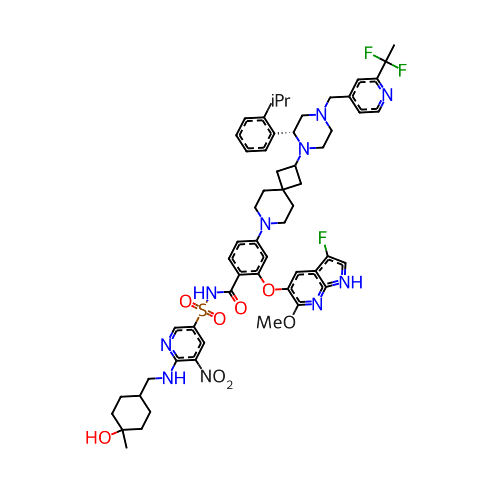 COc1nc2[nH]cc(F)c2cc1Oc1cc(N2CCC3(CC2)CC(N2CCN(Cc4ccnc(C(C)(F)F)c4)C[C@H]2c2ccccc2C(C)C)C3)ccc1C(=O)NS(=O)(=O)c1cnc(NCC2CCC(C)(O)CC2)c([N+](=O)[O-])c1